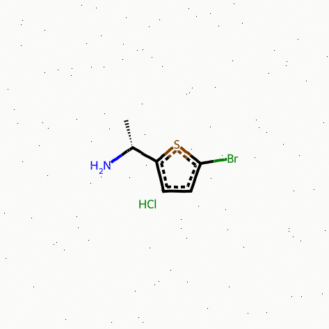 C[C@@H](N)c1ccc(Br)s1.Cl